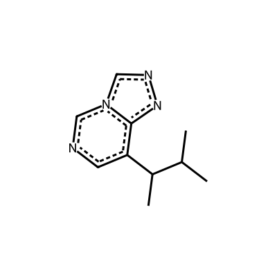 CC(C)C(C)c1cncn2cnnc12